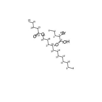 CCCC(Br)C(=O)O.CCCCCCCCCCCCOC(=O)CCCC